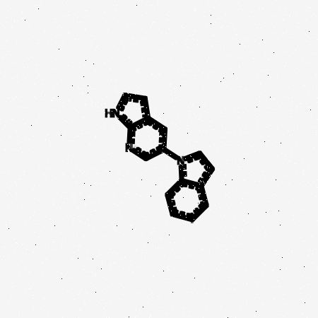 [c]1ccc2c(c1)ccn2-c1cnc2[nH]ccc2c1